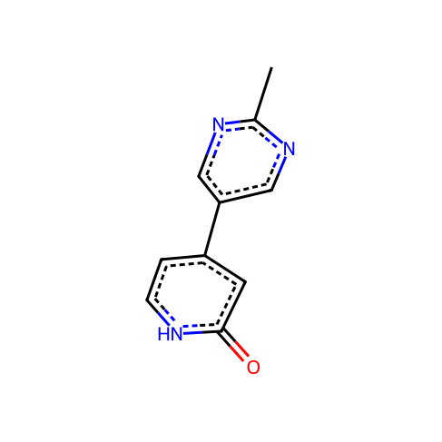 Cc1ncc(-c2cc[nH]c(=O)c2)cn1